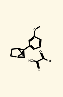 COc1cccc(C2=CN3CCC2C3)c1.O=C(O)C(=O)O